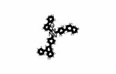 c1ccc(-c2cc(-c3ccc(-c4nc(-c5ccc(-c6ccc7ccccc7c6)cc5)nc(-c5cccc6c5oc5ccccc56)n4)cc3)cc3ccccc23)cc1